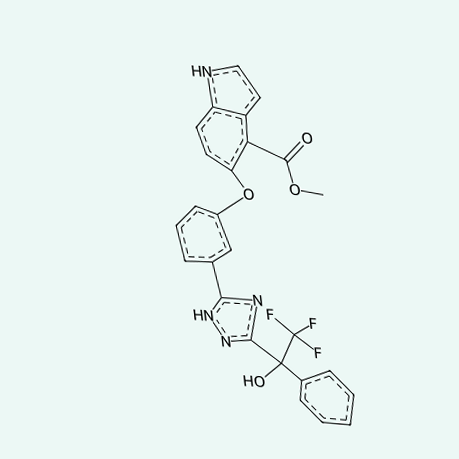 COC(=O)c1c(Oc2cccc(-c3nc(C(O)(c4ccccc4)C(F)(F)F)n[nH]3)c2)ccc2[nH]ccc12